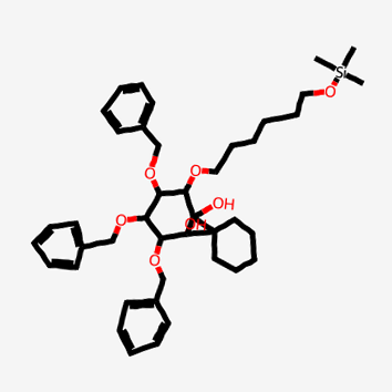 C[Si](C)(C)OCCCCCCOC1C(OCc2ccccc2)C(OCc2ccccc2)C(OCc2ccccc2)C2(O)C3(CCCCC3)C12O